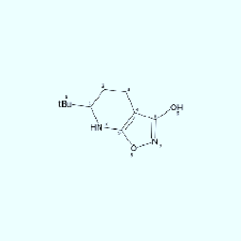 CC(C)(C)C1CCc2c(O)noc2N1